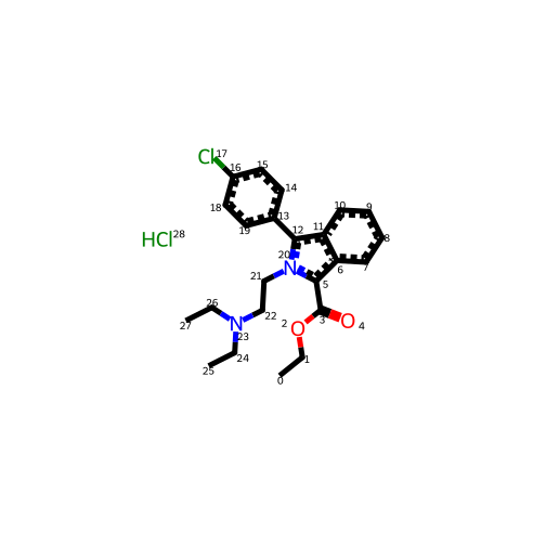 CCOC(=O)c1c2ccccc2c(-c2ccc(Cl)cc2)n1CCN(CC)CC.Cl